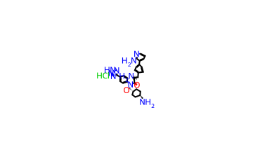 Cl.NC[C@H]1CC[C@H](C(=O)N(C(=O)[C@@H](N)Cc2ccc(-c3cccnc3N)cc2)c2ccc(-c3nn[nH]n3)cc2)CC1